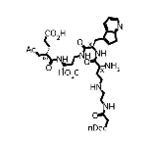 CCCCCCCCCCCC(=O)NCCNCC[C@H](N)C(=O)N[C@H](CC1=CCc2ncccc21)C(=O)NCC[C@@H](NC(=O)[C@@H](CCC(=O)O)CC(C)=O)C(=O)O